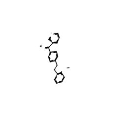 COc1ccccc1CCc1ccc(C(=NO)c2cccnc2)cc1